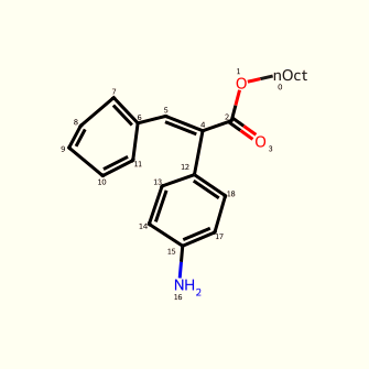 CCCCCCCCOC(=O)C(=Cc1ccccc1)c1ccc(N)cc1